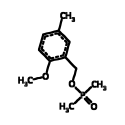 COc1ccc(C)cc1COP(C)(C)=O